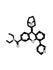 CCN(CC)C(=O)c1ccc2c(c1)Oc1c(cccc1-c1cccnc1)C2=C1CC2CCC(C1)N2